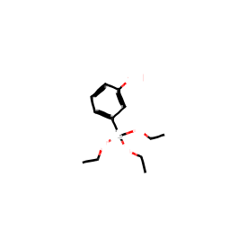 CCO[Si](OCC)(OCC)c1cccc(O)c1